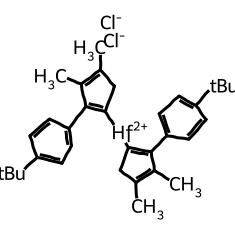 CC1=C(C)C(c2ccc(C(C)(C)C)cc2)=[C]([Hf+2][C]2=C(c3ccc(C(C)(C)C)cc3)C(C)=C(C)C2)C1.[Cl-].[Cl-]